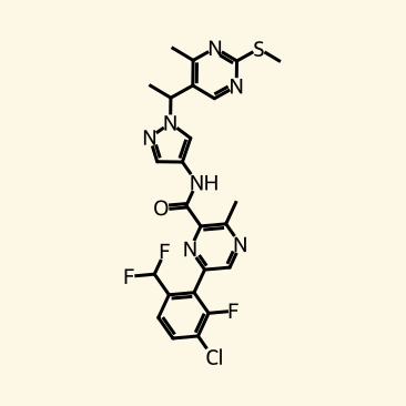 CSc1ncc(C(C)n2cc(NC(=O)c3nc(-c4c(C(F)F)ccc(Cl)c4F)cnc3C)cn2)c(C)n1